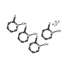 On1ccccc1=S.On1ccccc1=S.On1ccccc1=S.On1ccccc1=S.S.S